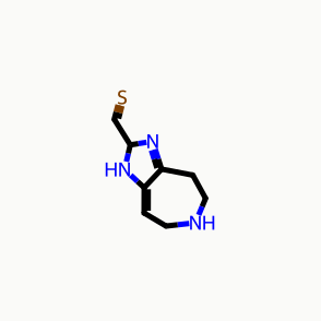 S=CC1N=C2CCNCC=C2N1